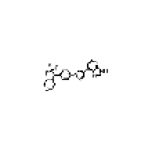 FC(F)(F)C(c1ccc(-n2cc(-c3ccnc4[nH]cnc34)cn2)nc1)N1CCOCC1